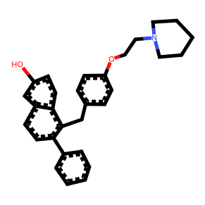 Oc1ccc2c(Cc3ccc(OCCN4CCCCC4)cc3)c(-c3ccccc3)ccc2c1